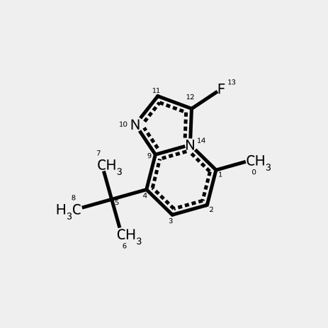 Cc1ccc(C(C)(C)C)c2ncc(F)n12